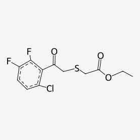 CCOC(=O)CSCC(=O)c1c(Cl)ccc(F)c1F